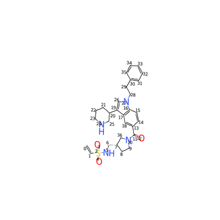 C=CS(=O)(=O)NC[C@H]1CCN(C(=O)c2ccc3c(c2)c(C2CCCNC2)cn3CCc2ccccc2)C1